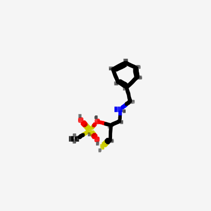 CS(=O)(=O)OC([C]=S)CNCc1ccccc1